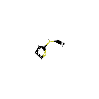 C#CSc1cccs1